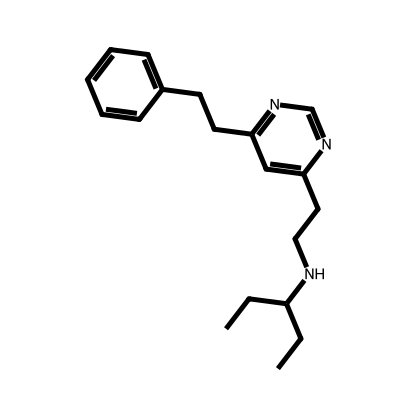 CCC(CC)NCCc1cc(CCc2ccccc2)ncn1